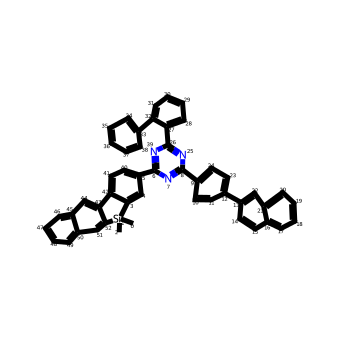 C[Si]1(C)c2cc(-c3nc(-c4ccc(-c5ccc6ccccc6c5)cc4)nc(-c4ccccc4-c4ccccc4)n3)ccc2-c2cc3ccccc3cc21